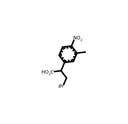 Cc1cc(C(CC(C)C)C(=O)O)ccc1[N+](=O)[O-]